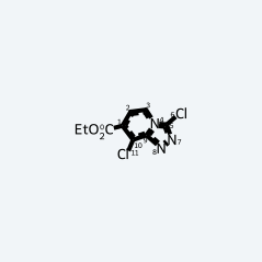 CCOC(=O)c1ccn2c(Cl)nnc2c1Cl